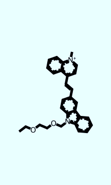 CCOCCOCn1c2ccccc2c2cc(/C=C/c3cc[n+](C)c4ccccc34)ccc21